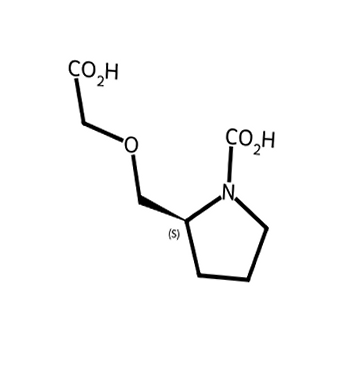 O=C(O)COC[C@@H]1CCCN1C(=O)O